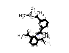 CB(C)OC(C)c1cccc(/C(C)=N/c2c(C(C)C)cccc2C(C)C)n1